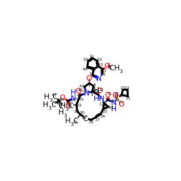 COc1cnc(O[C@@H]2C[C@H]3C(=O)N[C@]4(C(=O)NS(=O)(=O)C5CCC5)CC4/C=C\CC[C@@H](C)C[C@@H](C)[C@H](NC(=O)OC(C)(C)C)C(=O)N3C2)c2ccccc12